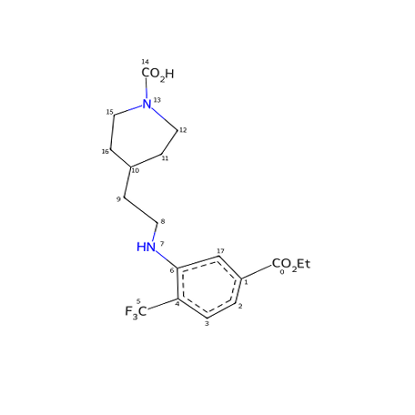 CCOC(=O)c1ccc(C(F)(F)F)c(NCCC2CCN(C(=O)O)CC2)c1